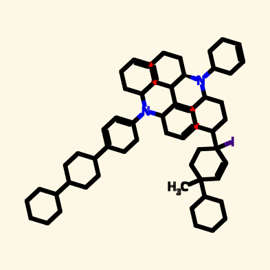 CC1(C2CCCCC2)C=CC(I)(C2CCC(N(C3CC=CCC3)[C@@H]3CCC=CC3C3=CC=CCC3N(C3=CC=C(C4CCC(C5CCCCC5)CC4)CC3)C3CC=CCC3)CC2)CC1